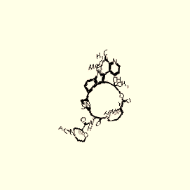 CCn1c(-c2cccnc2[C@H](C)OC)c2c3cc(ccc31)-c1csc(n1)C[C@H](NC(=O)[C@@H]1CN(C(C)=O)CCO1)C(=O)N1CCC[C@H](N1)C(=O)OCC(C)(C)C2